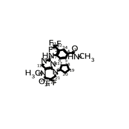 CNC(=O)c1ccc(Nc2ncc3c(n2)N(C2CCCC2)CC(F)(F)C(=O)N3C)c(C(F)(F)F)c1